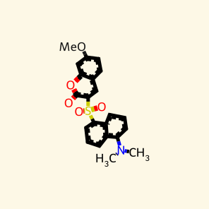 COc1ccc2cc(S(=O)(=O)c3cccc4c(N(C)C)cccc34)c(=O)oc2c1